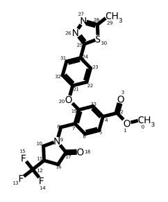 COC(=O)c1ccc(CN2CC(C(F)(F)F)CC2=O)c(Oc2ccc(-c3nnc(C)s3)cc2)c1